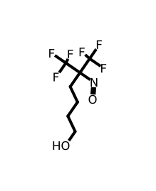 O=NC(CCCCO)(C(F)(F)F)C(F)(F)F